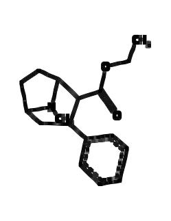 CCOC(=O)C1C(c2ccccc2)CC2CCC1N2C